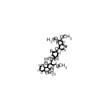 COCc1nc(C)c(-c2ncccc2C)c(O)c1C(=O)Nc1ccc(Oc2ccnc3cc(OC)c(OC)nc23)c(F)c1